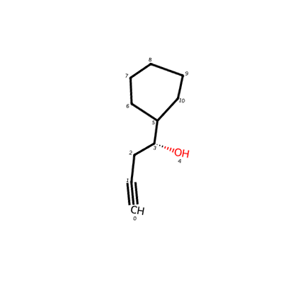 C#CC[C@@H](O)C1CCCCC1